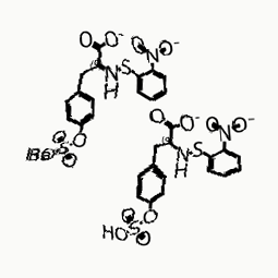 O=C([O-])[C@H](Cc1ccc(OS(=O)(=O)O)cc1)NSc1ccccc1[N+](=O)[O-].O=C([O-])[C@H](Cc1ccc(OS(=O)(=O)O)cc1)NSc1ccccc1[N+](=O)[O-].[Ba+2]